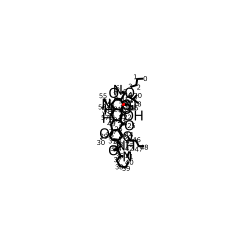 CCCCOc1noc2c1C(=O)[C@@]1(O[Si](C)(C)C(C)(C)C)C(O)=C3C(=O)c4c(c(OC)cc(NC(=O)C5CCCCN5C)c4OCCCC)C[C@H]3C[C@H]1[C@@H]2N(C)C